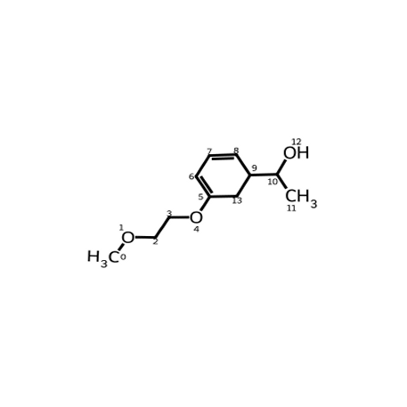 COCCOC1=CC=CC(C(C)O)C1